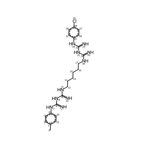 Cc1ccc(NC(=N)NC(=N)NCCCCCCNC(=N)NC(=N)Nc2ccc(Cl)cc2)cc1